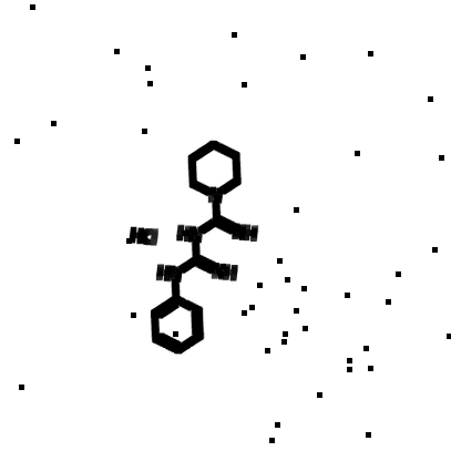 Cl.N=C(NC(=N)N1CCCCC1)Nc1ccccc1